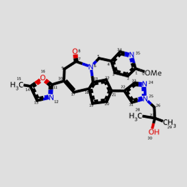 COc1ccc(CN2C(=O)CC(c3ncc(C)o3)=Cc3ccc(-c4cnn(CC(C)(C)O)c4)cc32)cn1